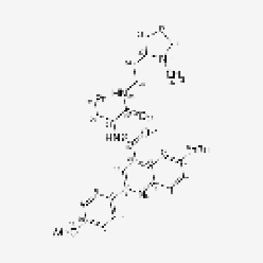 CCCCc1ccc2nc(-c3ccc(OC)cc3)cc(C(=O)NC(CC(C)C)C(=O)NCCC3CCCN3C)c2c1